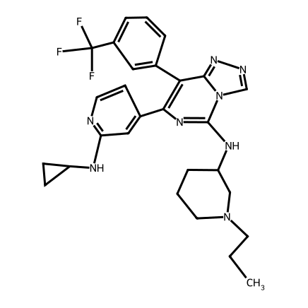 CCCN1CCCC(Nc2nc(-c3ccnc(NC4CC4)c3)c(-c3cccc(C(F)(F)F)c3)c3nncn23)C1